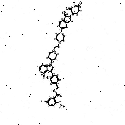 COc1ccc(F)cc1C(=O)NCc1ccc(-c2nn(C3CCN(CCN4CCN(c5ccc6c(c5)CN([C@H]5CCC(=O)NC5=O)C6=O)CC4)CC3)c3ncnc(N)c23)cc1